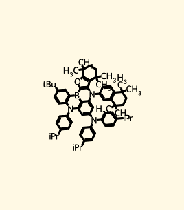 CC(C)c1ccc(N(c2ccc(C(C)C)cc2)c2cc3c4c(c2)N(c2ccc5c(c2)C(C)(C)CCC5(C)C)c2c(oc5c2C(C)(C)CCC5(C)C)B4c2cc(C(C)(C)C)ccc2N3c2ccc(C(C)C)cc2)cc1